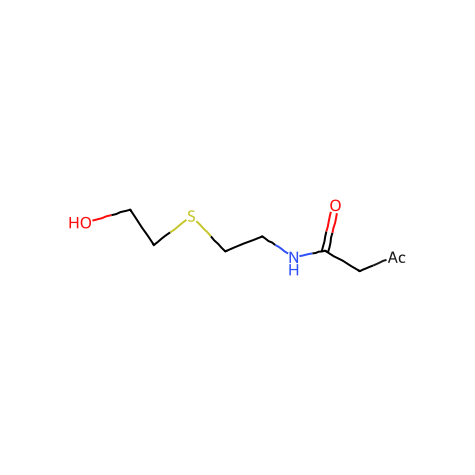 CC(=O)CC(=O)NCCSCCO